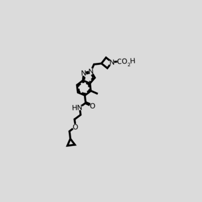 Cc1c(C(=O)NCCOCC2CC2)ccc2nn(CC3CN(C(=O)O)C3)cc12